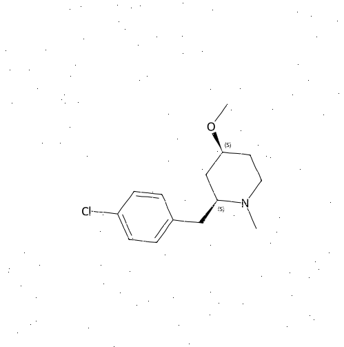 CO[C@H]1CCN(C)[C@@H](Cc2ccc(Cl)cc2)C1